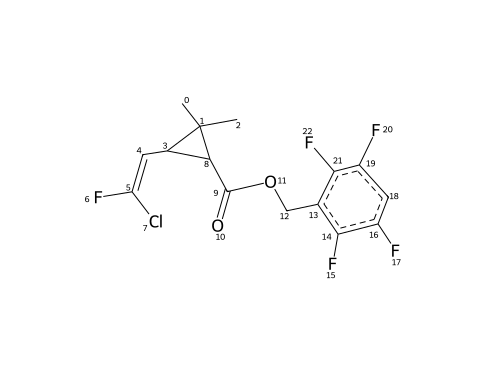 CC1(C)C(C=C(F)Cl)C1C(=O)OCc1c(F)c(F)cc(F)c1F